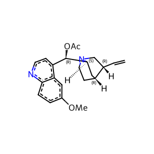 C=C[C@H]1CN2CC[C@@H]1C[C@H]2[C@H](OC(C)=O)c1ccnc2ccc(OC)cc12